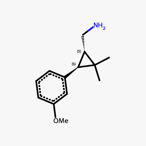 COc1cccc([C@H]2[C@H](CN)C2(C)C)c1